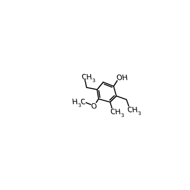 CCc1cc(O)c(CC)c(C)c1OC